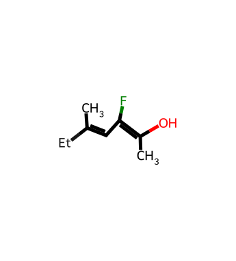 CC/C(C)=C/C(F)=C(\C)O